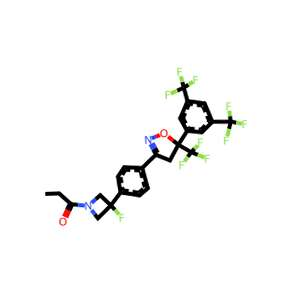 CCC(=O)N1CC(F)(c2ccc(C3=NOC(c4cc(C(F)(F)F)cc(C(F)(F)F)c4)(C(F)(F)F)C3)cc2)C1